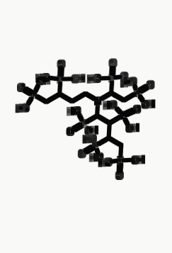 O=P(O)(O)CC(CCN(C(CP(=O)(O)O)P(=O)(O)O)C(C(C(CP(=O)(O)O)P(=O)(O)O)P(=O)(O)O)P(=O)(O)O)P(=O)(O)O